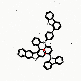 c1ccc(N(c2ccc(-c3cccc4c3oc3ccccc34)cc2)c2ccc(-n3c4ccccc4c4ccccc43)cc2)c(-c2cccc3oc4cc5ccccc5cc4c23)c1